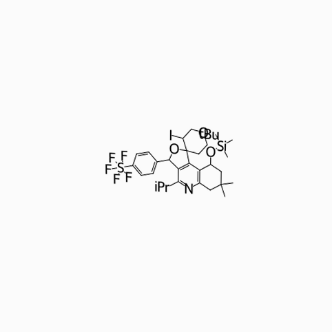 CC(C)c1nc2c(c3c1C(c1ccc(S(F)(F)(F)(F)F)cc1)OC31CCOCC1I)C(O[Si](C)(C)C(C)(C)C)CC(C)(C)C2